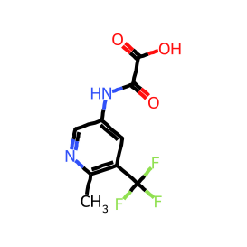 Cc1ncc(NC(=O)C(=O)O)cc1C(F)(F)F